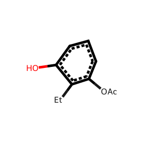 CCc1c(O)cccc1OC(C)=O